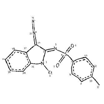 CCN1C(=NS(=O)(=O)c2ccc(C)cc2)C(=[N+]=[N-])c2ccccc21